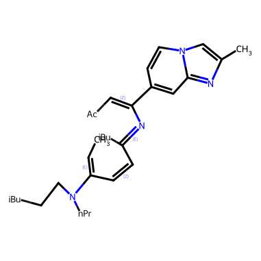 C\C=C(/C=C\C(=N\C(=C/C(C)=O)c1ccn2cc(C)nc2c1)C(C)CC)N(CCC)CCC(C)CC